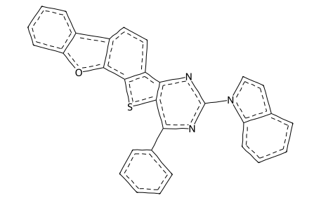 c1ccc(-c2nc(-n3ccc4ccccc43)nc3c2sc2c3ccc3c4ccccc4oc32)cc1